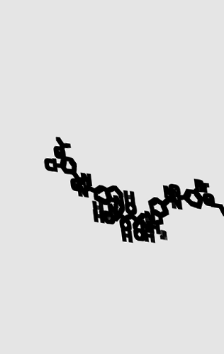 CCCOc1ccc(-c2nc(-c3ccc4c(c3)CCN4CC(N)(CO)C(O)C(O)C(N)(CO)CN3CCc4cc(-c5noc(-c6ccc(OC(C)C)c(Cl)c6)n5)ccc43)no2)cc1Br